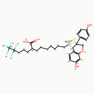 CS[C@@]1(c2ccc(O)cc2)COc2cc(O)ccc2[C@@H]1CCCCCCCCC(CCCC(F)(F)C(F)(F)F)C(=O)O